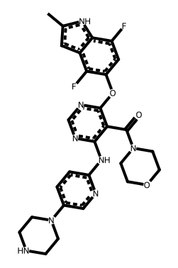 Cc1cc2c(F)c(Oc3ncnc(Nc4ccc(N5CCNCC5)cn4)c3C(=O)N3CCOCC3)cc(F)c2[nH]1